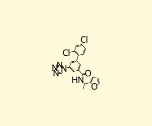 CC(NC(=O)c1cc(-c2ccc(Cl)cc2Cl)cc(-n2cnnn2)c1)c1ccco1